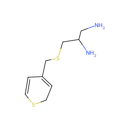 NCC(N)CSCC1=CCSC=C1